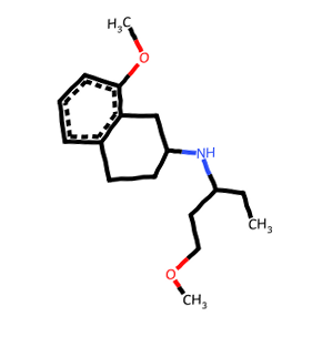 CCC(CCOC)NC1CCc2cccc(OC)c2C1